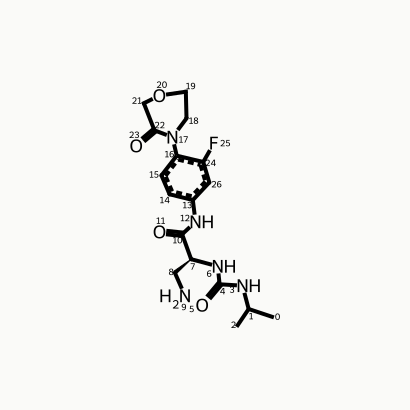 CC(C)NC(=O)N[C@@H](CN)C(=O)Nc1ccc(N2CCOCC2=O)c(F)c1